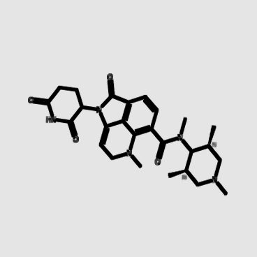 C[C@@H]1CN(C)C[C@H](C)C1N(C)C(=O)c1ccc2c3c1N(C)CC=C3N(C1CCC(=O)NC1=O)C2=O